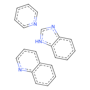 c1ccc2[nH]cnc2c1.c1ccc2ncccc2c1.c1ccncc1